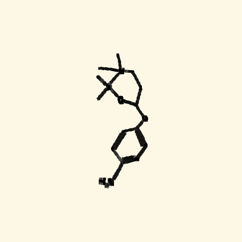 C[Si]1(C)CCC(Oc2ccc(N)cc2)O[Si]1(C)C